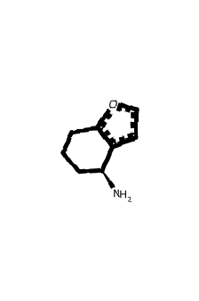 N[C@H]1CCCc2occc21